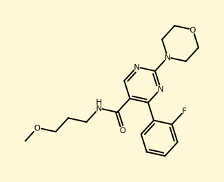 COCCCNC(=O)c1cnc(N2CCOCC2)nc1-c1ccccc1F